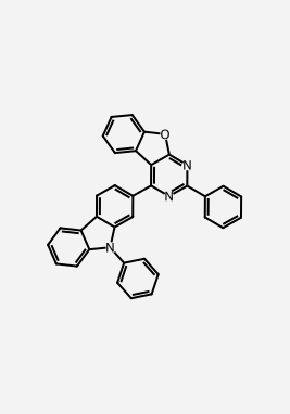 c1ccc(-c2nc(-c3ccc4c5ccccc5n(-c5ccccc5)c4c3)c3c(n2)oc2ccccc23)cc1